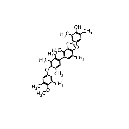 COc1c(C)cc(Oc2c(C)cc(-c3cc(C)c(Oc4cc(C)c(O)c(C)c4)c(C)c3C)c(C)c2C)cc1C